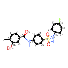 Cc1ccc(C(=O)Nc2ccc(S(=O)(=O)Nc3ccc(F)cc3)cc2)cc1Br